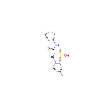 Cc1ccc(NC(C(=O)Nc2ccccc2)S(=O)(=O)O)cc1